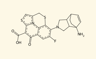 NC12C=CC(CC1)C1CN(c3c(F)cc4c(=O)c(C(=O)O)c5scc6n5c4c3SC6)CC12